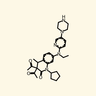 CCN(c1ccc2c(c1)N(C1CCCC1)C(=O)C(C(C)=O)(C(C)=O)C2C)c1ccc(N2CCNCC2)cn1